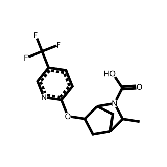 CC1C2CC(Oc3ccc(C(F)(F)F)cn3)C(C2)N1C(=O)O